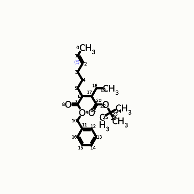 C/C=C/CCCC(C(=O)OCc1ccccc1)C(CC)C(=O)OC(C)(C)C